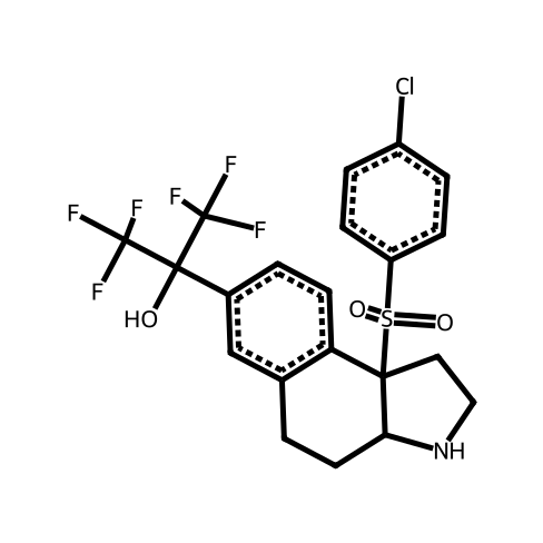 O=S(=O)(c1ccc(Cl)cc1)C12CCNC1CCc1cc(C(O)(C(F)(F)F)C(F)(F)F)ccc12